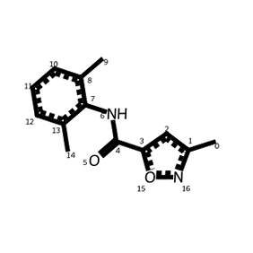 Cc1cc(C(=O)Nc2c(C)cccc2C)on1